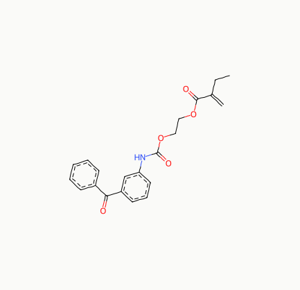 C=C(CC)C(=O)OCCOC(=O)Nc1cccc(C(=O)c2ccccc2)c1